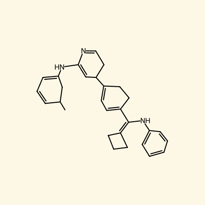 CC1C=CC=C(NC2=CC(C3=CC=C(C(Nc4ccccc4)=C4CCC4)CC3)CC=N2)C1